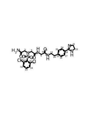 NC(=O)CN(CC(=O)NCC(=O)NCCc1ccc(C2=NCCN2)cc1)S(=O)(=O)c1c(Cl)cccc1Cl